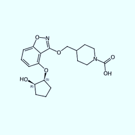 O=C(O)N1CCC(COc2noc3cccc(O[C@H]4CCC[C@H]4O)c23)CC1